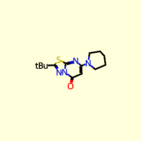 CC(C)(C)c1nn2c(=O)cc(N3CCCCC3)nc2s1